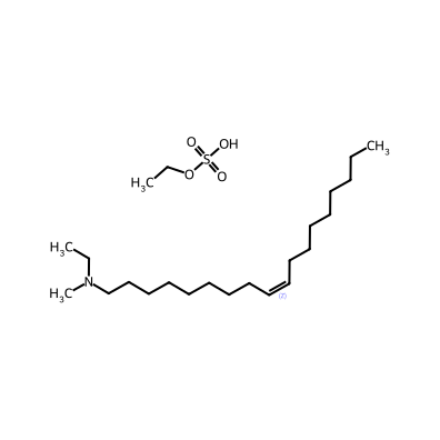 CCCCCCCC/C=C\CCCCCCCCN(C)CC.CCOS(=O)(=O)O